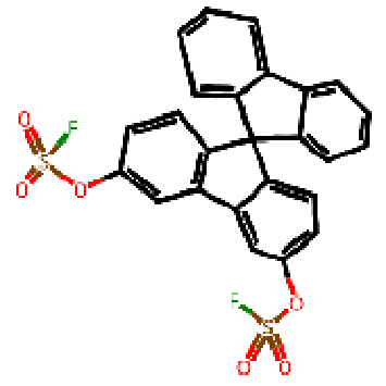 O=S(=O)(F)Oc1ccc2c(c1)-c1cc(OS(=O)(=O)F)ccc1C21c2ccccc2-c2ccccc21